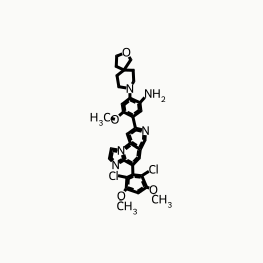 COc1cc(N2CCC3(CCOC3)CC2)c(N)cc1-c1cc2c(cn1)cc(-c1c(Cl)c(OC)cc(OC)c1Cl)c1nccn12